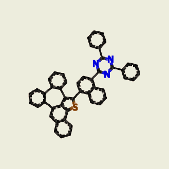 c1ccc(-c2nc(-c3ccccc3)nc(-c3ccc(-c4sc5c6c(cc7ccccc75)-c5ccccc5-c5ccccc5-c46)c4ccccc34)n2)cc1